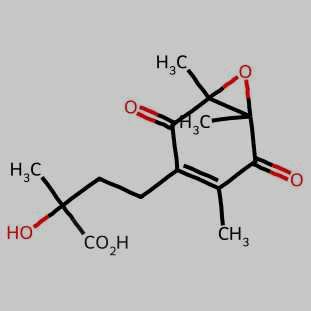 CC1=C(CCC(C)(O)C(=O)O)C(=O)C2(C)OC2(C)C1=O